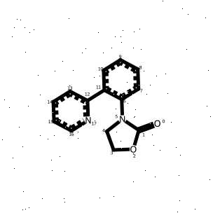 O=C1OCCN1c1ccccc1-c1ccccn1